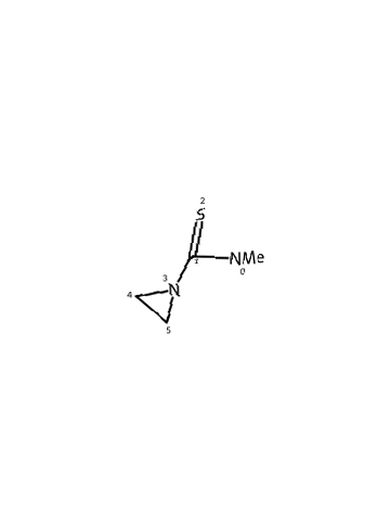 CNC(=S)N1CC1